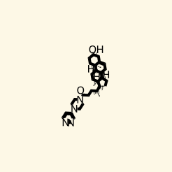 C[C@H](CCC(=O)N1CCN(c2ccnnc2)CC1)[C@H]1CC[C@H]2[C@@H]3CC=C4C[C@@H](O)CC[C@]4(C)[C@H]3CC[C@]12C